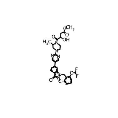 COC(=O)CC(O)C(=O)N1CCN(c2ncc(-c3ccc4c(=O)n(C)n(Cc5ccccc5OC(F)F)c4c3)cn2)CC1C